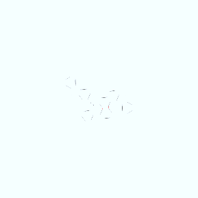 CC1(C)c2ccccc2-c2ccc(N(c3ccc4c5c(ccc4c3)C(C)(C)c3ccccc3-5)c3ccccc3-c3ccccc3)cc21